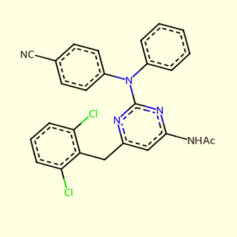 CC(=O)Nc1cc(Cc2c(Cl)cccc2Cl)nc(N(c2ccccc2)c2ccc(C#N)cc2)n1